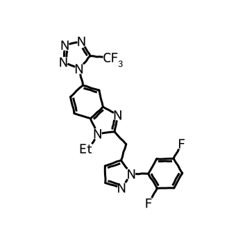 CCn1c(Cc2ccnn2-c2cc(F)ccc2F)nc2cc(-n3nnnc3C(F)(F)F)ccc21